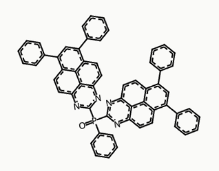 O=P(c1ccccc1)(c1nc2ccc3c(-c4ccccc4)cc(-c4ccccc4)c4ccc(n1)c2c34)c1nc2ccc3c(-c4ccccc4)cc(-c4ccccc4)c4ccc(n1)c2c34